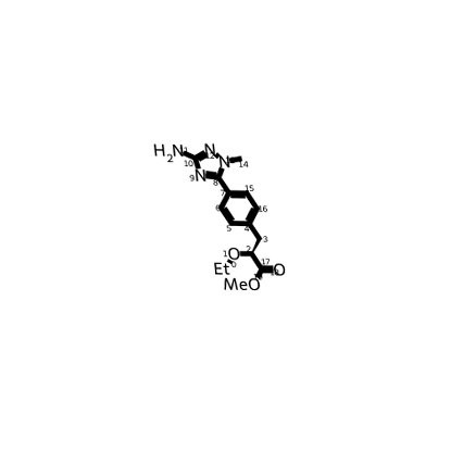 CCO[C@@H](Cc1ccc(-c2nc(N)nn2C)cc1)C(=O)OC